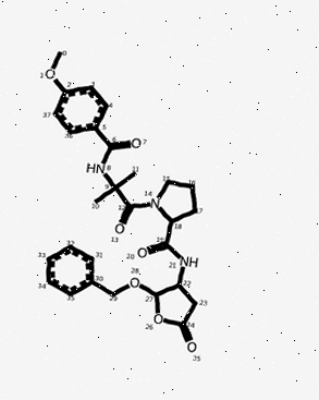 COc1ccc(C(=O)NC(C)(C)C(=O)N2CCCC2C(=O)NC2CC(=O)OC2OCc2ccccc2)cc1